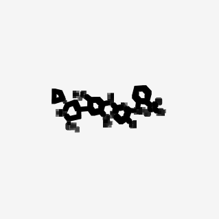 Cc1cc(Nc2ncc(Cl)c(Nc3ccccc3S(=O)(=O)C(C)C)n2)c(OC(C)C)cc1C1=C[C@@H](C2CCC2)N[C@@H](C)C1